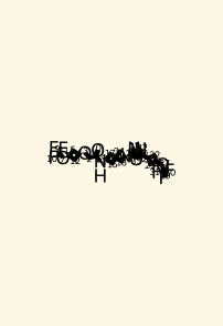 O=C(CO[C@H]1C[C@H](OC(F)(F)F)C1)NC1CC2(C1)CN(c1nnc(C3CC(OC(F)(F)F)C3)o1)C2